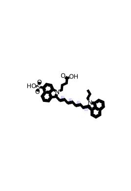 CCCn1\c(=C/C=C/C=C/C=C/C2=[N+](CCCC(=O)O)c3ccc(S(=O)(=O)O)c4cccc2c34)c2cccc3cccc1c32